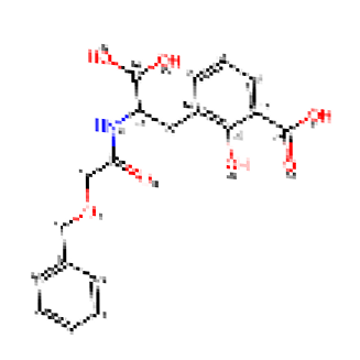 O=C(COCc1ccccc1)NC(Cc1cccc(C(=O)O)c1O)B(O)O